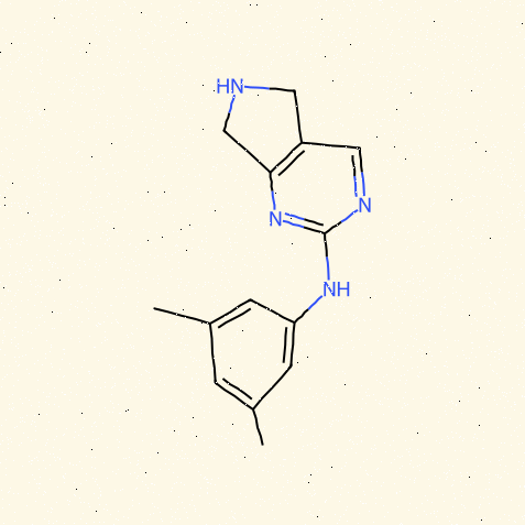 Cc1cc(C)cc(Nc2ncc3c(n2)CNC3)c1